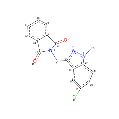 Cn1nc(CN2C(=O)c3ccccc3C2=O)c2cc(Cl)ccc21